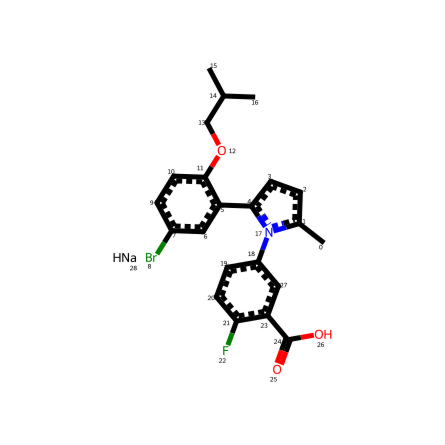 Cc1ccc(-c2cc(Br)ccc2OCC(C)C)n1-c1ccc(F)c(C(=O)O)c1.[NaH]